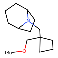 CC(C)(C)OCC1(CN2C3CCCC2CC3)CCC1